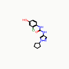 O=C(Nc1cnn(C2CCCC2)c1)Nc1ccc(O)cc1Cl